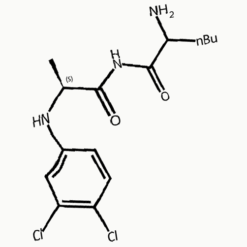 CCCCC(N)C(=O)NC(=O)[C@H](C)Nc1ccc(Cl)c(Cl)c1